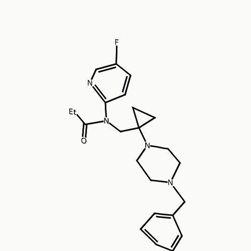 CCC(=O)N(CC1(N2CCN(Cc3ccccc3)CC2)CC1)c1ccc(F)cn1